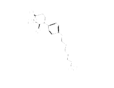 O=C1CCC(c2ccc(CCCCCCCO)cc2)C(=O)N1